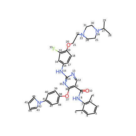 Cc1cccc(C)c1NC(=O)c1cnc(Nc2ccc(OCCN3CCN(C(C)C)CC3)c(F)c2)nc1Oc1ccc(-n2cccc2)cc1